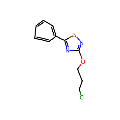 ClCCCOc1nsc(-c2ccccc2)n1